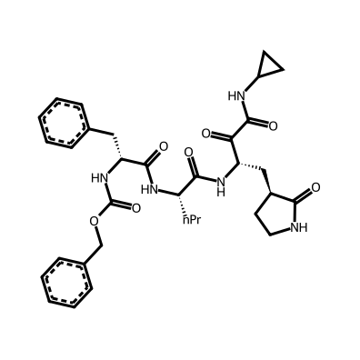 CCC[C@H](NC(=O)[C@@H](Cc1ccccc1)NC(=O)OCc1ccccc1)C(=O)N[C@@H](C[C@@H]1CCNC1=O)C(=O)C(=O)NC1CC1